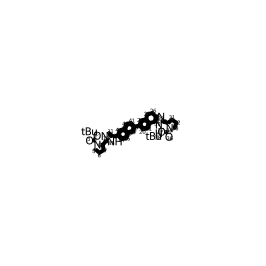 CC(C)(C)OC(=O)N1CCCC1c1ncc(-c2ccc3cc(-c4ccc5c(c4)CCc4nc(C6CCCN6C(=O)OC(C)(C)C)[nH]c4-5)ccc3c2)[nH]1